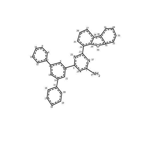 Nc1nc(-c2cc(-c3ccccc3)cc(-c3ccccc3)c2)nc(-c2cccc3c2oc2ccccc23)n1